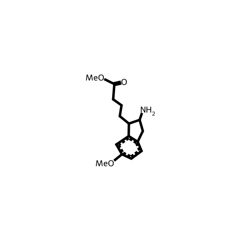 COC(=O)CCCC1c2cc(OC)ccc2CC1N